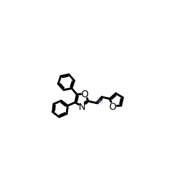 C(=C\c1nc(-c2ccccc2)c(-c2ccccc2)o1)/c1ccco1